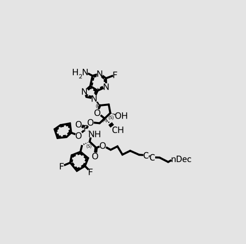 C#C[C@]1(COP(=O)(N[C@@H](Cc2cc(F)cc(F)c2)C(=O)OCCCCCCCCCCCCCCCCCCC)Oc2ccccc2)O[C@@H](n2cnc3c(N)nc(F)nc32)C[C@@H]1O